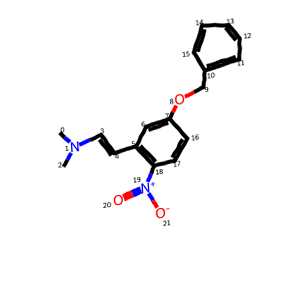 CN(C)C=Cc1cc(OCc2ccccc2)ccc1[N+](=O)[O-]